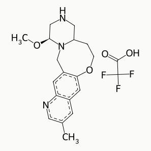 CO[C@H]1CNCC2CCOc3cc4cc(C)cnc4cc3CN21.O=C(O)C(F)(F)F